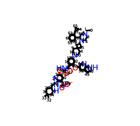 CCN1CCN(C2CC3(CCN(c4ccc(C(=O)NS(=O)(=O)c5cnc(NCC6CCC(C)(C)CC6)c([N+](=O)[O-])c5)c(Oc5cnc6[nH]ccc6c5)c4)CC3)C2)[C@@H](c2ccccc2C2CC2)C1